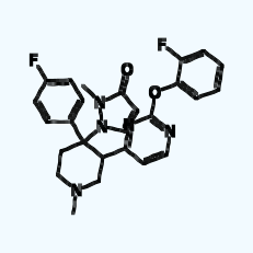 CN1CCC(c2ccc(F)cc2)(n2ccc(=O)n2C)C(c2ccnc(Oc3ccccc3F)n2)C1